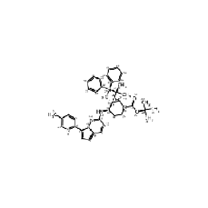 Cc1ccc(-c2ccc3cnc(N[C@@H]4CCN(C(=O)OC(C)(C)C)C[C@H]4O[Si](c4ccccc4)(c4ccccc4)C(C)(C)C)nn23)nc1